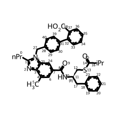 CCCc1nc2c(C)cc(C(=O)N[C@@H](CSC(=O)C(C)C)Cc3ccccc3)cc2n1Cc1ccc(-c2ccccc2C(=O)O)cc1